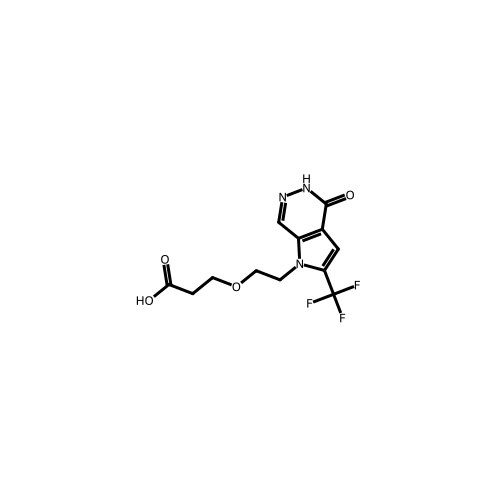 O=C(O)CCOCCn1c(C(F)(F)F)cc2c(=O)[nH]ncc21